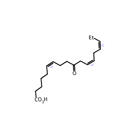 CC/C=C\C/C=C\CC(=O)CC/C=C\CCCCC(=O)O